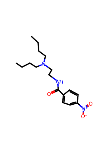 CCCCN(CCCC)CCNC(=O)c1ccc([N+](=O)[O-])cc1